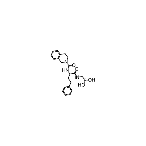 O=C(NCB(O)O)C(CCc1ccccc1)NC(=O)N1CCc2ccccc2C1